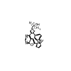 CC(C)(O)Cn1cc(-c2ncnc3oc(-c4cccc(F)n4)cc23)c(-c2ccc(F)cc2)n1